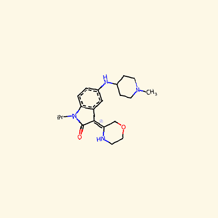 CC(C)N1C(=O)/C(=C2/COCCN2)c2cc(NC3CCN(C)CC3)ccc21